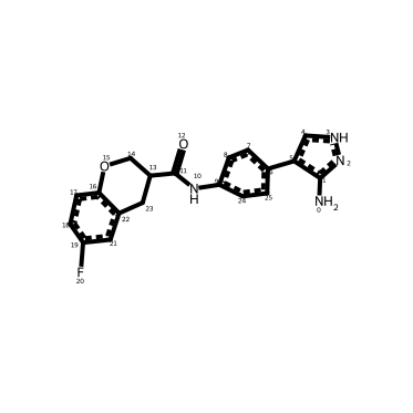 Nc1n[nH]cc1-c1ccc(NC(=O)C2COc3ccc(F)cc3C2)cc1